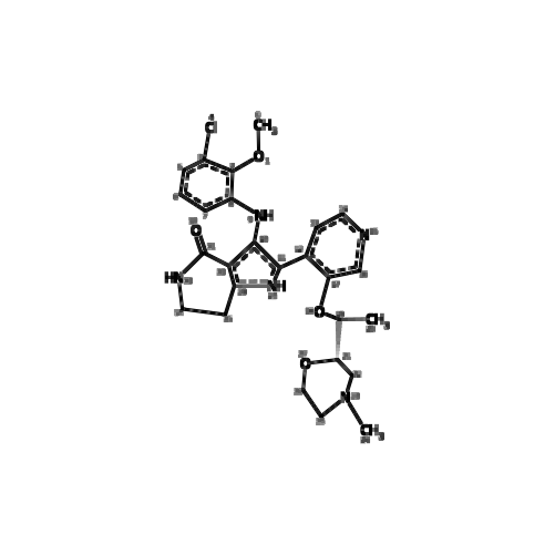 COc1c(Cl)cccc1Nc1c(-c2ccncc2OC(C)[C@@H]2CN(C)CCO2)[nH]c2c1C(=O)NCC2